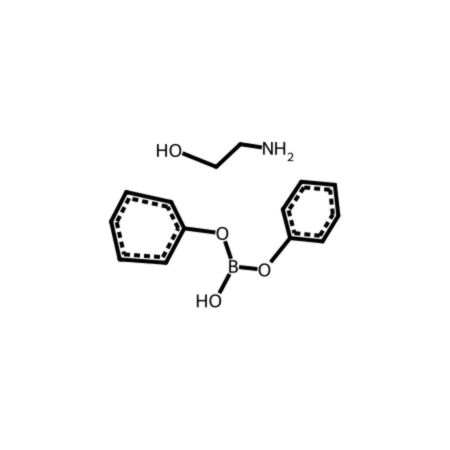 NCCO.OB(Oc1ccccc1)Oc1ccccc1